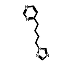 c1cc(CCCCn2cncn2)ncn1